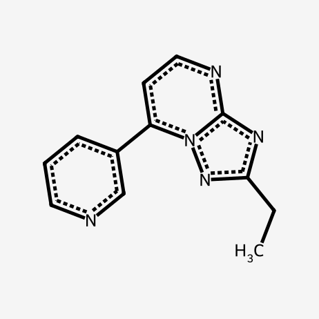 CCc1nc2nccc(-c3cccnc3)n2n1